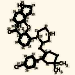 CC1(C)CCC(CC2CNCCN2c2cccc(C(N)=O)c2Oc2cccc3[nH]ccc23)=C(c2ccc(Cl)cc2)C1